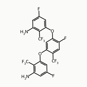 Nc1cc(F)cc(Oc2cc(Oc3cc(F)cc(N)c3C(F)(F)F)c(C(F)(F)F)cc2F)c1C(F)(F)F